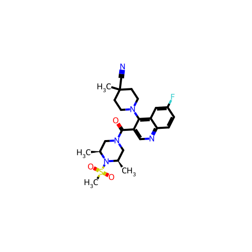 C[C@@H]1CN(C(=O)c2cnc3ccc(F)cc3c2N2CCC(C)(C#N)CC2)C[C@H](C)N1S(C)(=O)=O